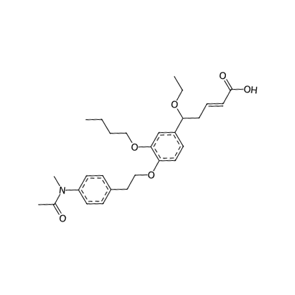 CCCCOc1cc(C(CC=CC(=O)O)OCC)ccc1OCCc1ccc(N(C)C(C)=O)cc1